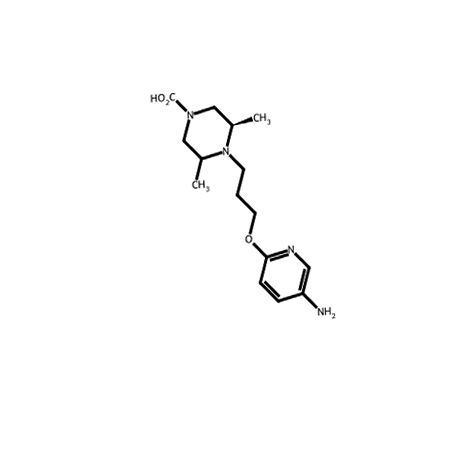 CC1CN(C(=O)O)C[C@@H](C)N1CCCOc1ccc(N)cn1